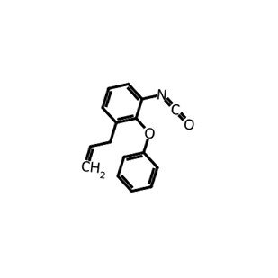 C=CCc1cccc(N=C=O)c1Oc1ccccc1